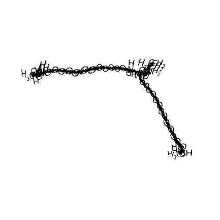 CC(=O)NC(CS)C(=O)NCCOCCOCCOCCOCCOCCOCCOCCOCCOCCOCCOCCOCCC(=O)NCCCCC(NC(=O)CCOCCOCCOCCOCCOCCOCCOCCOCCOCCOCCOCCOCCNC(=O)C(CS)NC(C)=O)C(=O)NC(CSSC(C)(C)C)C(N)=O